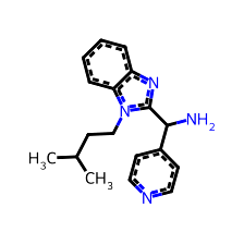 CC(C)CCn1c(C(N)c2ccncc2)nc2ccccc21